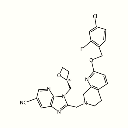 N#Cc1cnc2c(c1)nc(CN1CCc3ccc(OCc4ccc(Cl)cc4F)nc3C1)n2C[C@@H]1CCO1